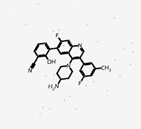 Cc1cc(F)cc(-c2cnc3cc(F)c(-c4cccc(C#N)c4O)cc3c2N2CCC(N)CC2)c1